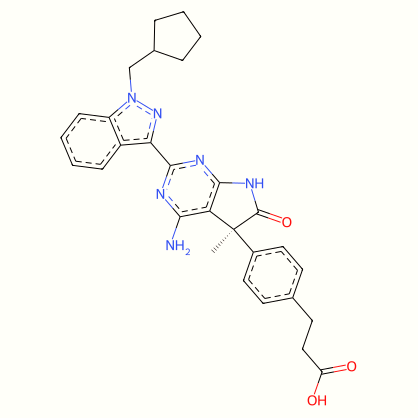 C[C@@]1(c2ccc(CCC(=O)O)cc2)C(=O)Nc2nc(-c3nn(CC4CCCC4)c4ccccc34)nc(N)c21